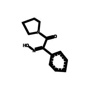 O=C(C(=NO)c1ccccc1)N1CCCC1